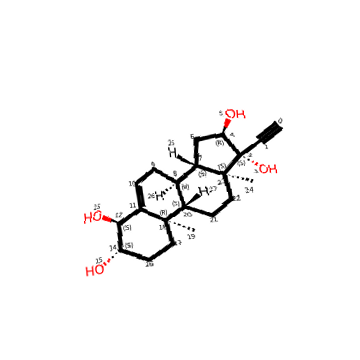 C#C[C@]1(O)[C@H](O)C[C@H]2[C@@H]3CC=C4[C@H](O)[C@@H](O)CC[C@]4(C)[C@H]3CC[C@@]21C